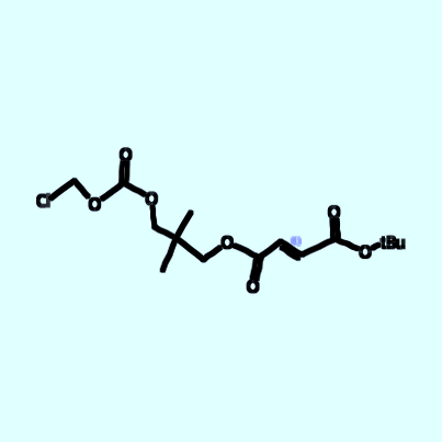 CC(C)(COC(=O)/C=C/C(=O)OC(C)(C)C)COC(=O)OCCl